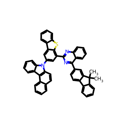 CC1(C)c2ccccc2-c2ccc(-c3nc(-c4cc(-n5c6ccccc6c6c7ccccc7ccc65)cc5c4sc4ccccc45)nc4ccccc34)cc21